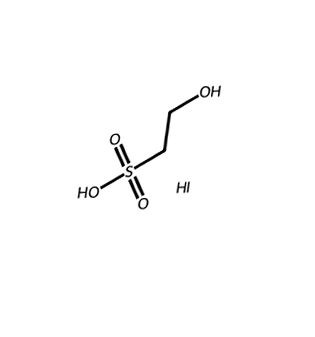 I.O=S(=O)(O)CCO